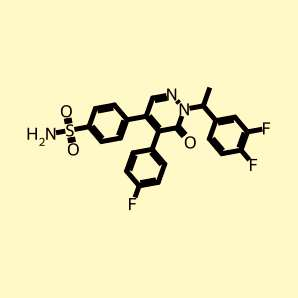 CC(c1ccc(F)c(F)c1)n1ncc(-c2ccc(S(N)(=O)=O)cc2)c(-c2ccc(F)cc2)c1=O